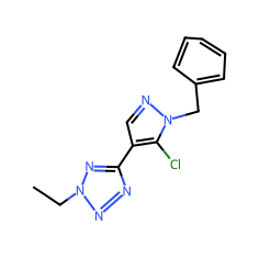 CCn1nnc(-c2cnn(Cc3ccccc3)c2Cl)n1